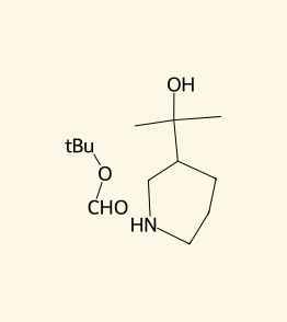 CC(C)(C)OC=O.CC(C)(O)C1CCCNC1